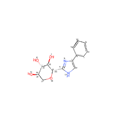 O[C@@H]1[C@@H](O)[C@H](c2nc(-c3ccccc3)c[nH]2)OC[C@H]1O